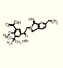 Br.CCc1ccc2c(n1)C(=N)N(CC(=O)c1cc(C(=O)O)c(OC)c(C(C)(C)C)c1)C2